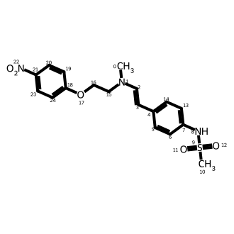 CN(C=Cc1ccc(NS(C)(=O)=O)cc1)CCOc1ccc([N+](=O)[O-])cc1